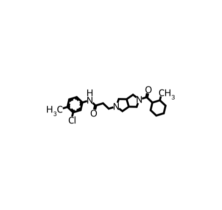 Cc1ccc(NC(=O)CCN2CC3CN(C(=O)C4CCCCC4C)CC3C2)cc1Cl